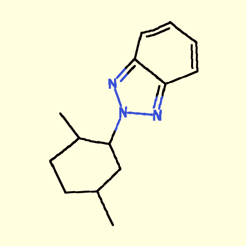 CC1CCC(C)C(n2nc3ccccc3n2)C1